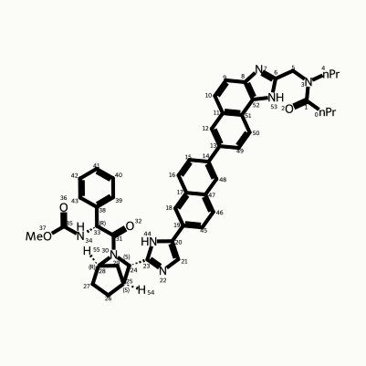 CCCC(=O)N(CCC)Cc1nc2ccc3cc(-c4ccc5cc(-c6cnc([C@@H]7[C@H]8CC[C@H](C8)N7C(=O)[C@H](NC(=O)OC)c7ccccc7)[nH]6)ccc5c4)ccc3c2[nH]1